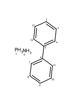 N.P.c1ccc(-c2ccccc2)cc1